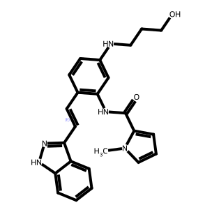 Cn1cccc1C(=O)Nc1cc(NCCCO)ccc1/C=C/c1n[nH]c2ccccc12